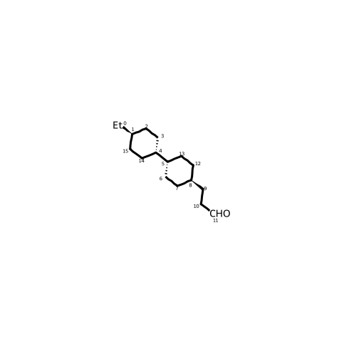 CC[C@H]1CC[C@H]([C@H]2CC[C@H](CCC=O)CC2)CC1